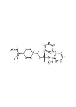 CNC(=O)[C@H]1CC[C@H](CCC(C)(C)[Si](O)(c2ccccc2)c2ccccc2)CC1